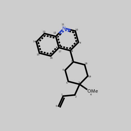 C=CCC1(OC)CCC(c2ccnc3ccccc23)CC1